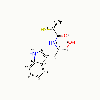 CC(C)[C@H](S)C(=O)N[C@H](CO)Cc1c[nH]c2ccccc12